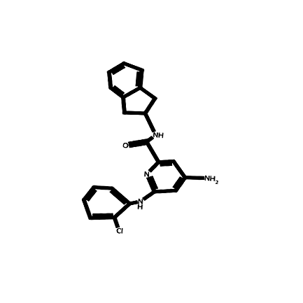 Nc1cc(Nc2ccccc2Cl)nc(C(=O)NC2Cc3ccccc3C2)c1